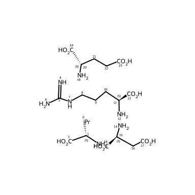 CC(C)[C@H](N)C(=O)O.N=C(N)NCCC[C@H](N)C(=O)O.N[C@@H](CC(=O)O)C(=O)O.N[C@@H](CCC(=O)O)C(=O)O